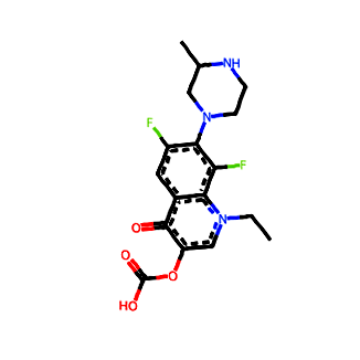 CCn1cc(OC(=O)O)c(=O)c2cc(F)c(N3CCNC(C)C3)c(F)c21